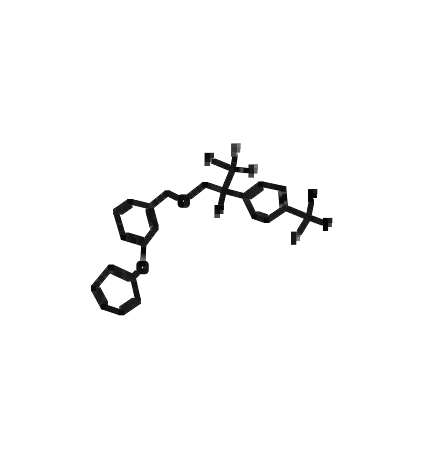 FC(F)(F)c1ccc(C(F)(COCc2cccc(Oc3ccccc3)c2)C(F)(F)F)cc1